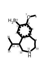 Bc1cc2c(cc1OC)CCNCC2C(C)C